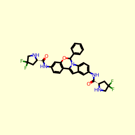 O=C(Nc1ccc2c(c1)OC(c1ccccc1)n1c-2cc2cc(NC(=O)[C@@H]3CC(F)(F)CN3)ccc21)[C@@H]1CC(F)(F)CN1